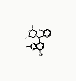 Cc1nc2c(O)ccc(C(c3ncccc3F)N3C[C@@H](C)O[C@@H](C)C3)c2s1